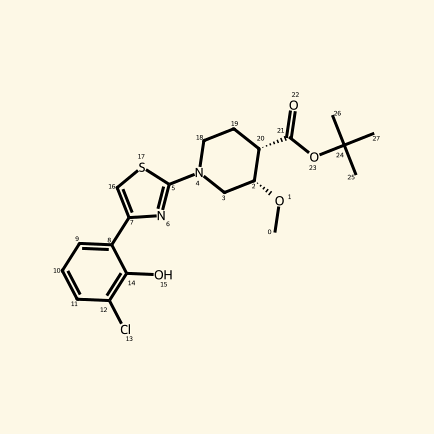 CO[C@@H]1CN(c2nc(-c3cccc(Cl)c3O)cs2)CC[C@@H]1C(=O)OC(C)(C)C